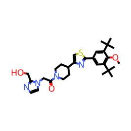 COc1c(C(C)(C)C)cc(-c2nc(C3CCN(C(=O)Cn4ccnc4CO)CC3)cs2)cc1C(C)(C)C